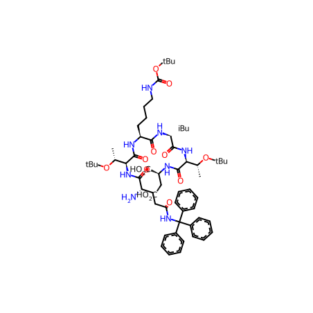 CC[C@H](C)[C@H](NC(=O)[C@H](CCCCNC(=O)OC(C)(C)C)NC(=O)[C@@H](NC(=O)[C@@H](N)CCC(=O)NC(c1ccccc1)(c1ccccc1)c1ccccc1)[C@@H](C)OC(C)(C)C)C(=O)N[C@H](C(=O)N[C@@H](CC(=O)O)C(=O)O)[C@@H](C)OC(C)(C)C